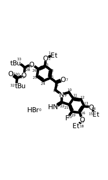 Br.CCOc1cc(C(=O)CN2Cc3cc(OCC)c(OCC)c(F)c3C2=N)ccc1OC(OC(=O)C(C)(C)C)C(C)(C)C